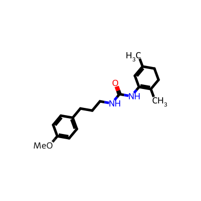 COc1ccc(CCCNC(=O)NC2=C(C)CCC(C)=C2)cc1